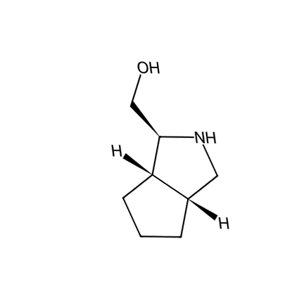 OC[C@H]1NC[C@@H]2CCC[C@@H]21